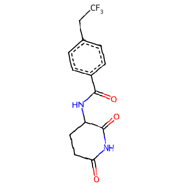 O=C1CCC(NC(=O)c2ccc(CC(F)(F)F)cc2)C(=O)N1